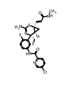 CNC(=O)C=C[C@]12C[C@H]1[C@@](CF)(c1cc(NC(=O)c3ccc(Cl)cn3)ccc1F)N=C(N)S2